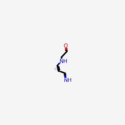 N=C/C=C\NCC=O